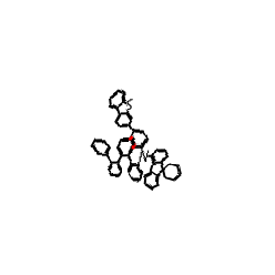 c1ccc(-c2ccccc2-c2ccccc2-c2ccccc2N(c2ccc(-c3ccc4c(c3)sc3ccccc34)cc2)c2cccc3c2-c2ccccc2C32CCCCC2)cc1